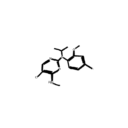 [CH]c1ccc(N(c2ncc(Cl)c(NC)n2)C(C)C)c(OC)c1